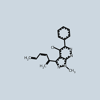 C=C/C=C\C(=C)c1nn(C)c2nnc(-c3ccccc3)c(Cl)c12